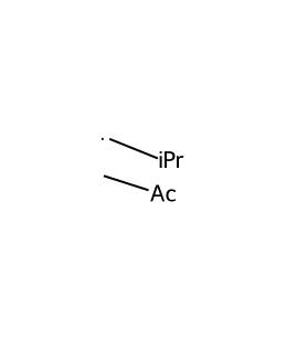 CC(C)=O.[CH2]C(C)C